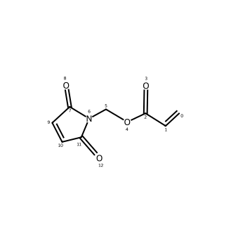 C=CC(=O)OCN1C(=O)C=CC1=O